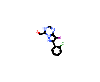 O=CC1NC=Nc2c(I)c(-c3ccccc3Cl)nn21